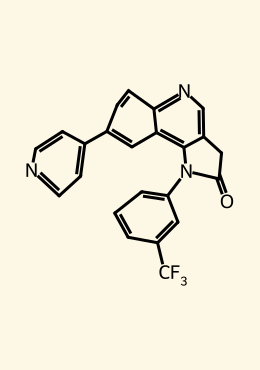 O=C1Cc2cnc3ccc(-c4ccncc4)cc3c2N1c1cccc(C(F)(F)F)c1